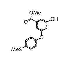 COC(=O)c1cc(O)cc(Oc2ccc(SC)cc2)c1